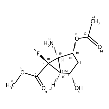 COC(=O)[C@@]1(F)[C@@H]2[C@@H](O)C[C@@H](OC(C)=O)[C@@]21N